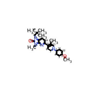 COc1ccc(N2CC3CCC2C(C)=C3c2ccc3c(n2)n(C)c(=O)n3CC(C)(C)C)cc1